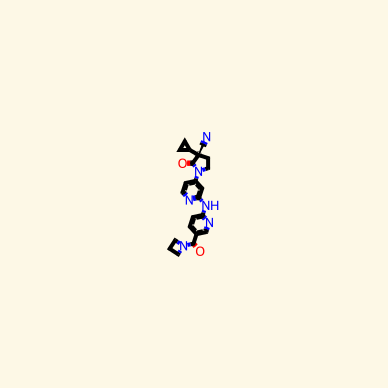 N#C[C@@]1(C2CC2)CCN(c2ccnc(Nc3ccc(C(=O)N4CCC4)cn3)c2)C1=O